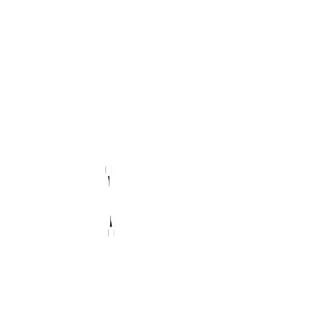 CCCC1CC[C@@H]2C[C@H](c3ccc(C#Cc4ccc(C)cc4)cc3)CC[C@@H]2C1